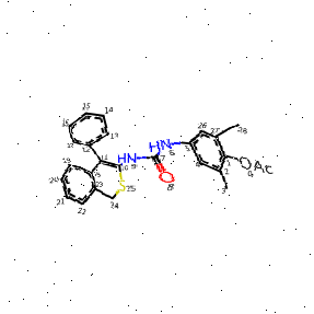 CC(=O)Oc1c(C)cc(NC(=O)NC2=C(c3ccccc3)c3ccccc3CS2)cc1C